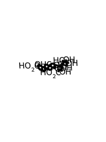 CC1(C(=O)O)C=C2C3CCC4C5(C=O)CCC(OC6OC(C(=O)O)C(O)C(O)C6OC6OCC(O)C(O)C6O)C(C)(C)C5CCC4(C)C3(C)CCC2(C)CC1